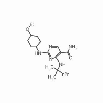 CCCC(C)(C)Nc1nc(NC2CCC(OCC)CC2)ncc1C(N)=O